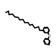 CCCCCCCCCCCCCCCc1cccc(Oc2ccccc2)c1